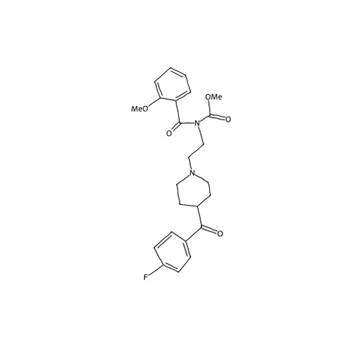 COC(=O)N(CCN1CCC(C(=O)c2ccc(F)cc2)CC1)C(=O)c1ccccc1OC